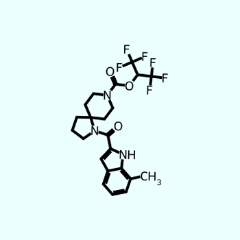 Cc1cccc2cc(C(=O)N3CCCC34CCN(C(=O)OC(C(F)(F)F)C(F)(F)F)CC4)[nH]c12